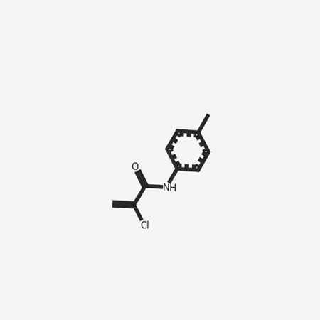 C=C(Cl)C(=O)Nc1ccc(C)cc1